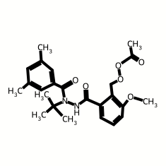 COc1cccc(C(=O)NN(C(=O)c2cc(C)cc(C)c2)C(C)(C)C)c1COOC(C)=O